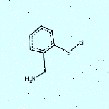 NCc1ccccc1SCl